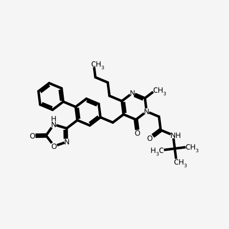 CCCCc1nc(C)n(CC(=O)NC(C)(C)C)c(=O)c1Cc1ccc(-c2ccccc2)c(-c2noc(=O)[nH]2)c1